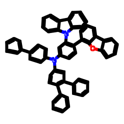 c1ccc(-c2ccc(N(c3ccc(-c4ccccc4)c(-c4ccccc4)c3)c3ccc(-c4cccc5c4oc4ccccc45)c(-n4c5ccccc5c5ccccc54)c3)cc2)cc1